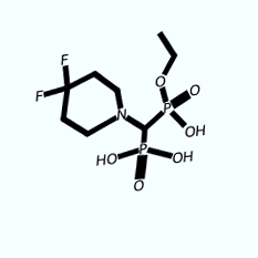 CCOP(=O)(O)C(N1CCC(F)(F)CC1)P(=O)(O)O